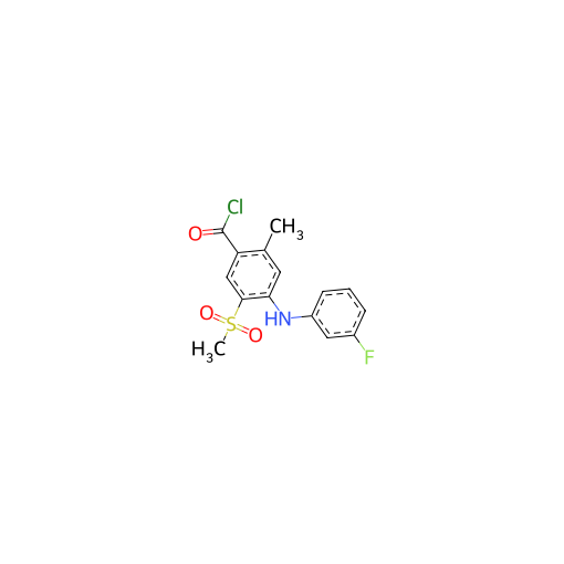 Cc1cc(Nc2cccc(F)c2)c(S(C)(=O)=O)cc1C(=O)Cl